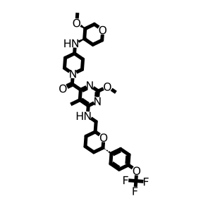 COc1nc(NCC2CCC[C@@H](c3ccc(OC(F)(F)F)cc3)O2)c(C)c(C(=O)N2CCC(N[C@@H]3CCOC[C@@H]3OC)CC2)n1